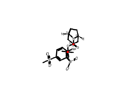 CC(C)(C)OC(=O)N1[C@@H]2CC[C@H]1C[C@@H](Nc1ccc(S(C)(=O)=O)cc1[N+](=O)[O-])C2